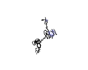 C#C/C(C)=N\OCCCS/C=C(C(=O)NCCNc1ccc(C(F)(F)F)cc1[N+](=O)[O-])/C(C)=C\C(C)=N/C